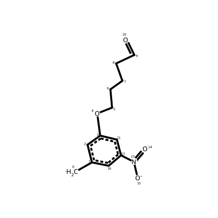 [CH2]c1cc(OCCCCC=O)cc([N+](=O)[O-])c1